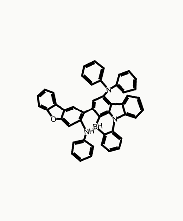 B1c2ccccc2-n2c3ccccc3c3c(N(c4ccccc4)c4ccccc4)cc(-c4cc5c(cc4Nc4ccccc4)oc4ccccc45)c1c32